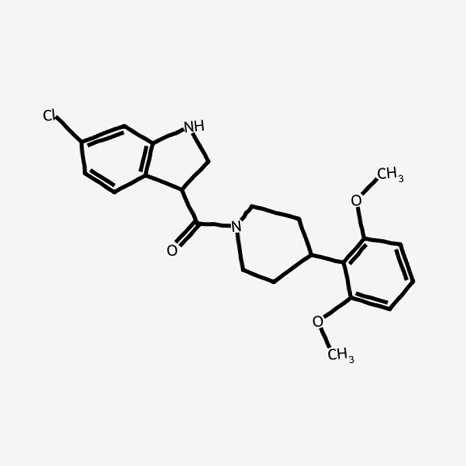 COc1cccc(OC)c1C1CCN(C(=O)C2CNc3cc(Cl)ccc32)CC1